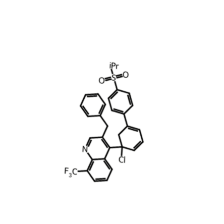 CC(C)S(=O)(=O)c1ccc(C2=CC=CC(Cl)(c3c(Cc4ccccc4)cnc4c(C(F)(F)F)cccc34)C2)cc1